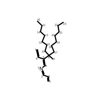 C=C/C=N\C=C(/C=C)C(C)(CCCCCCC)CCCCCCC